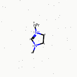 CCC[N+]1=CN(C)CC1